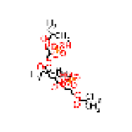 C=C(C)C(=O)OCC(COC(=O)C(=C)CC(C)(C)C(=O)OCC(COC(=O)C(=C)C)OP(=O)(O)O)OP(=O)(O)O